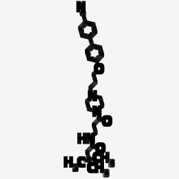 CC(C)(C)CC(=O)NCCC(=O)N1CCN(CCCOc2ccc(-c3ccc(C#N)cc3)cc2)CC1